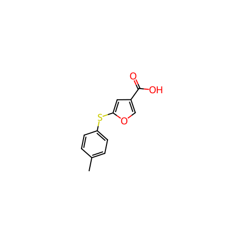 Cc1ccc(Sc2cc(C(=O)O)co2)cc1